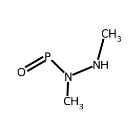 CNN(C)P=O